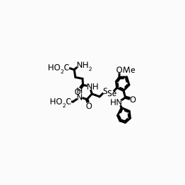 COc1ccc(C(=O)Nc2ccccc2)c([Se]SCC(NC(=O)CCC(N)C(=O)O)C(=O)NCC(=O)O)c1